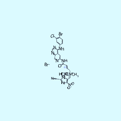 Cn1c(C#N)nc([N+](=O)[O-])c1C[N+](C)(C)C/C=C/C(=O)Nc1cc2c(Nc3ccc(Br)c(Cl)c3)ncnc2cn1.[Br-]